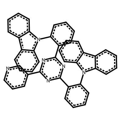 c1cncc(-c2nc(-c3ccccc3-n3c4ccccc4c4ccccc43)nc(-c3ccccc3-n3c4ccccc4c4ccccc43)n2)c1